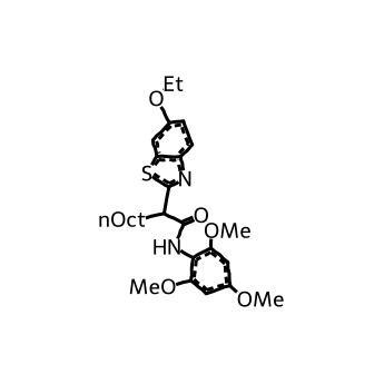 CCCCCCCCC(C(=O)Nc1c(OC)cc(OC)cc1OC)c1nc2ccc(OCC)cc2s1